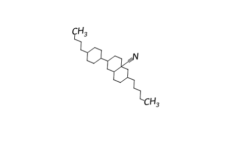 CCCCCC1CCC2CC(C3CCC(CCCC)CC3)CCC2(C#N)C1